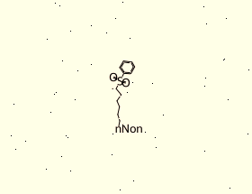 [CH2]CCCCCCCCCCCCC[CH]S(=O)(=O)c1ccccc1